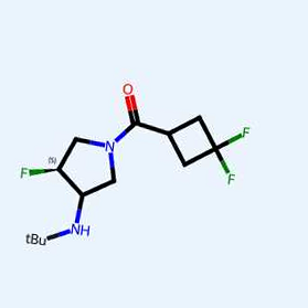 CC(C)(C)NC1CN(C(=O)C2CC(F)(F)C2)C[C@@H]1F